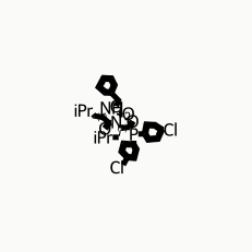 CC(C)C[C@H](N)C(=O)N(C(=O)OCc1ccccc1)[C@@H](CC(C)C)C(=O)P(c1ccc(Cl)cc1)c1ccc(Cl)cc1